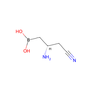 N#CC[C@H](N)CB(O)O